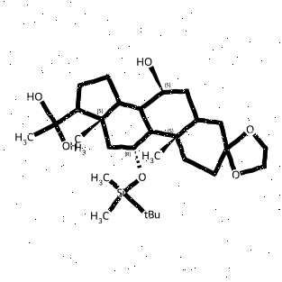 CC(O)(O)C1CCC2C3C([C@H](O[Si](C)(C)C(C)(C)C)C[C@@]21C)[C@@]1(C)CCC2(CC1C[C@@H]3O)OCCO2